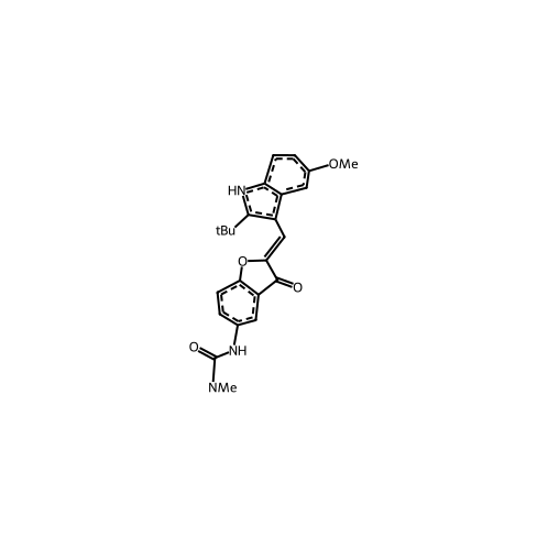 CNC(=O)Nc1ccc2c(c1)C(=O)C(=Cc1c(C(C)(C)C)[nH]c3ccc(OC)cc13)O2